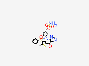 Cc1sc(C(=O)c2cncnc2N[C@H]2CC[C@@H](COS(N)(=O)=O)C2)cc1[S+]([O-])c1ccccc1